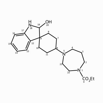 CCOC(=O)N1CCCN(C2CCC3(CC2)c2ccccc2NC3O)CC1